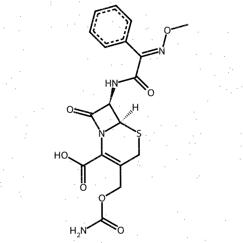 CO/N=C(/C(=O)N[C@@H]1C(=O)N2C(C(=O)O)=C(COC(N)=O)CS[C@H]12)c1ccccc1